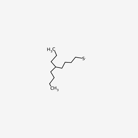 CCCCC(CCC)CCCC[S]